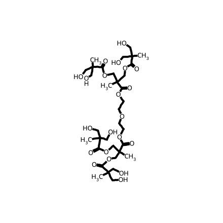 CC(CO)(CO)C(=O)OCC(C)(COC(=O)C(C)(CO)CO)C(=O)OCCOCCOC(=O)C(C)(COC(=O)C(C)(CO)CO)COC(=O)C(C)(CO)CO